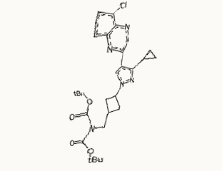 CC(C)(C)OC(=O)N(CC1CC(n2cc(-c3cnc4c(Cl)cccc4n3)c(C3CC3)n2)C1)C(=O)OC(C)(C)C